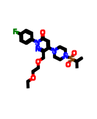 CCOCCOCc1nn(-c2ccc(F)cc2)c(=O)cc1N1CCN(S(=O)(=O)C(C)C)CC1